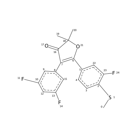 CSc1ccc(C2=C(c3cc(F)cc(F)c3)C(=O)C(C)(C)O2)cc1F